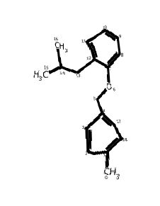 Cc1ccc(COc2ccccc2CC(C)C)cc1